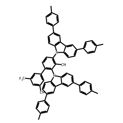 Cc1ccc(-c2ccc3c(c2)c2cc(-c4ccc(C)cc4)ccc2n3-c2ccc(-c3cc(C#N)cc(C(F)(F)F)c3)c(-n3c4ccc(-c5ccc(C)cc5)cc4c4cc(-c5ccc(C)cc5)ccc43)c2C#N)cc1